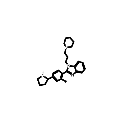 Fc1cc(C2CCCN2)ccc1-c1nc2ccccc2n1CCCN1CCCCC1